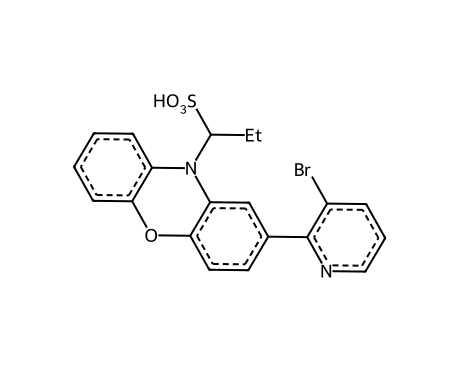 CCC(N1c2ccccc2Oc2ccc(-c3ncccc3Br)cc21)S(=O)(=O)O